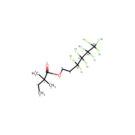 CCC(C)(C)C(=O)OCCC(F)(F)C(F)(F)C(F)(F)C(F)(F)F